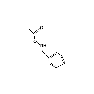 CC(=O)ONCc1ccccc1